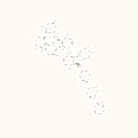 c1ccc(-c2ccc(-c3ccc(-n4c5ccccc5c5c(-c6cccc7c6c6ccccc6n7-c6ccccc6-c6ccccc6)cccc54)cc3)cc2)cc1